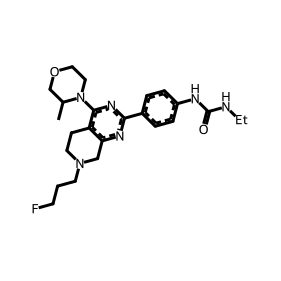 CCNC(=O)Nc1ccc(-c2nc3c(c(N4CCOCC4C)n2)CCN(CCCF)C3)cc1